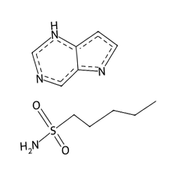 CCCCCS(N)(=O)=O.c1cc2[nH]cncc-2n1